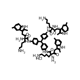 Cc1ccc2[nH]c(C)c(CC(=O)[C@@](N)(CCCCN)C(=O)Nc3ccc(C(c4ccc(NC(=O)[C@](N)(CCCCN)C(=O)Cc5c(C)[nH]c6ccc(C)cc56)cc4)c4ccc(NC(=O)[C@](N)(CCCCN)C(=O)Cc5c(C)[nH]c6ccc(C)cc56)cc4)cc3)c2c1.Cl